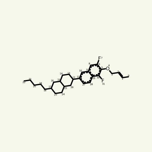 CC=CCOc1c(F)cc2cc(C3CCC4CC(CCCCC)CCC4C3)ccc2c1F